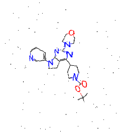 CC(C)(C)OC(=O)N1CCC(c2nc(N3CCOCC3)nc3c2CCN3c2cccnc2)CC1